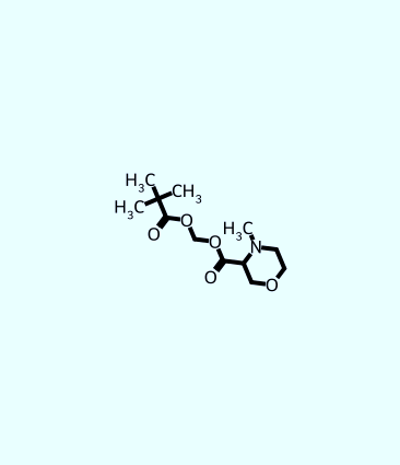 CN1CCOCC1C(=O)OCOC(=O)C(C)(C)C